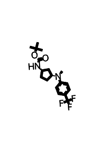 CN(c1ccc(C(F)(F)F)cc1)[C@@H]1CC[C@@H](NC(=O)OC(C)(C)C)C1